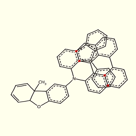 CC12C=CC=CC1Oc1ccc(N(c3ccccc3-c3cccc4cccc(-c5ccccc5)c34)c3cccc4c5ccccc5n(-c5ccccc5)c34)cc12